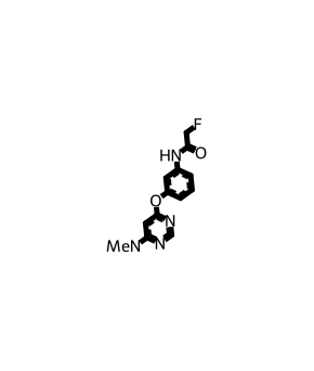 CNc1cc(Oc2cccc(NC(=O)CF)c2)ncn1